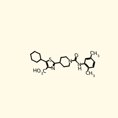 Cc1ccc(C)c(NC(=O)N2CCC(c3nc(C(=O)O)c(C4CCCCC4)s3)CC2)c1